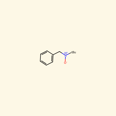 CC(C)(C)[NH+]([O-])Cc1ccccc1